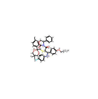 Cc1ccc(C2(CS[C@@H](C(=O)N3C(=O)OCC3c3ccccc3)[C@H](Nc3ccc(F)cc3)c3ccc(OCC(=O)O)cc3)OCC(C)(C)CO2)cc1